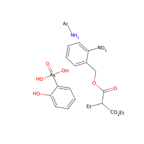 CC(N)=O.CCOC(=O)C(CC)C(=O)OCc1ccccc1[N+](=O)[O-].O=[As](O)(O)c1ccccc1O